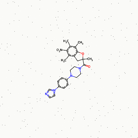 Cc1c(C)c([N+](=O)[O-])c(C)c2c1OC(C)(C(=O)N1CCN(c3ccc(-n4ccnc4)cc3)CC1)C2